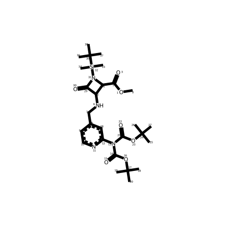 COC(=O)C1C(NCc2ccnc(N(C(=O)OC(C)(C)C)C(=O)OC(C)(C)C)c2)C(=O)N1[Si](C)(C)C(C)(C)C